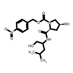 CC(C)CC(CO)NC(=O)[C@@H]1C[C@H](S)CN1C(=O)OCc1ccc([N+](=O)[O-])cc1